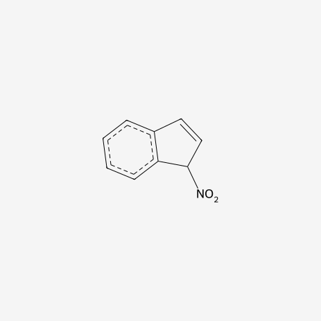 O=[N+]([O-])C1C=Cc2ccccc21